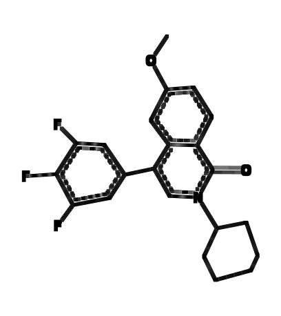 COc1ccc2c(=O)n(C3CCCCC3)cc(-c3cc(F)c(F)c(F)c3)c2c1